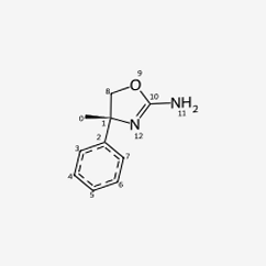 C[C@@]1(c2ccccc2)COC(N)=N1